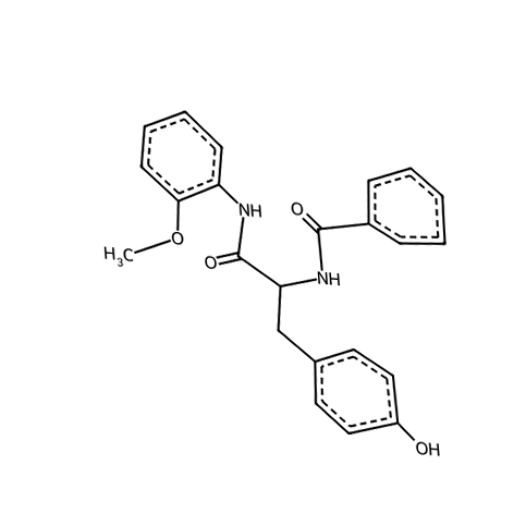 COc1ccccc1NC(=O)C(Cc1ccc(O)cc1)NC(=O)c1ccccc1